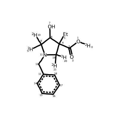 [2H]OC(=O)C1(CC)C(O)C([2H])([2H])N(Cc2ccccc2)C1([2H])[2H]